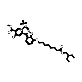 CCC(CC)COC(=O)CCCCCCCOc1cccc2c3n(nc12)C[C@@H](C(C)(C)C)n1cc(C(=O)OC)c(=O)cc1-3